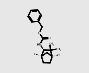 CC1(C)[C@H]2CC[C@H](C2)[C@H]1NC(=O)OCc1ccccc1